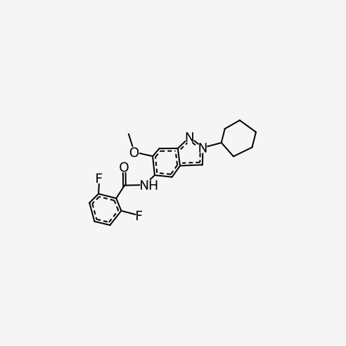 COc1cc2nn(C3CCCCC3)cc2cc1NC(=O)c1c(F)cccc1F